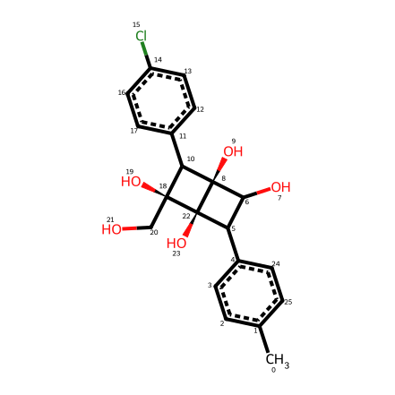 Cc1ccc(C2C(O)[C@@]3(O)C(c4ccc(Cl)cc4)[C@@](O)(CO)[C@@]23O)cc1